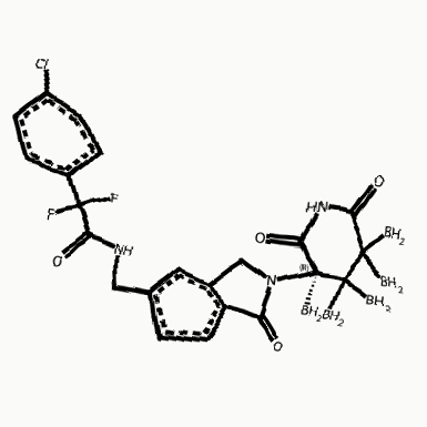 BC1(B)C(=O)NC(=O)[C@](B)(N2Cc3cc(CNC(=O)C(F)(F)c4ccc(Cl)cc4)ccc3C2=O)C1(B)B